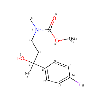 CCC(O)(CCN(C)C(=O)OC(C)(C)C)c1ccc(I)cc1